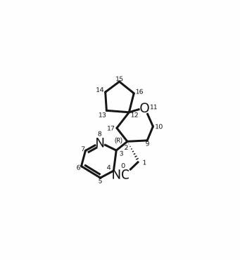 N#CC[C@@]1(C2CC=CC=N2)CCOC2(CCCC2)C1